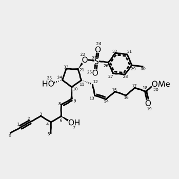 CC#CCC(C)[C@H](O)/C=C/[C@@H]1[C@@H](C/C=C\CCCC(=O)OC)[C@H](OS(=O)(=O)c2ccc(C)cc2)C[C@H]1O